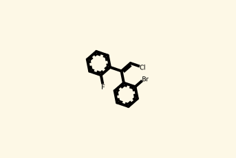 Fc1ccccc1C(=CCl)c1ccccc1Br